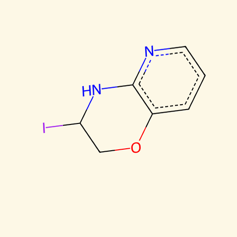 IC1COc2cccnc2N1